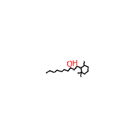 CCCCCCCC(O)CCC1C(C)CCCC1(C)C